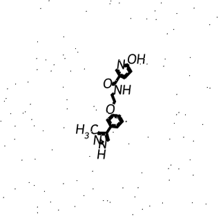 Cc1n[nH]cc1-c1c[c]cc(OCCNC(=O)c2ccc(O)nc2)c1